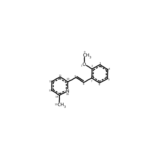 COc1ccccc1C=Cc1cccc(C)n1